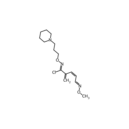 C=C(/C=C\C=N\OC)/C(Cl)=N/OCCCN1CCCCC1